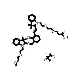 COCCOCCN1C(=C=CC2CCCC(/C=C/C3=[N+](CCOCCOCCC(=O)O)c4ccccc4C3(C)C)=C2Cl)C(C)(C)c2ccccc21.O=C([O-])C(F)(F)F